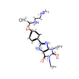 CCCn1c(=O)c2[nH]c(-c3ccc(OC(C=O)NCCN)cc3)nc2n(CCC)c1=O